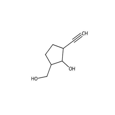 C#CC1CCC(CO)C1O